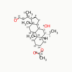 CC[C@H]1[C@@H](O)C2C3CC[C@H]([C@H](C)CC=O)[C@@]3(C)CCC2[C@@]2(C)CC[C@@H](OC(C)=O)C[C@@H]12